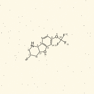 FC1CNC2c3ccc(OC(F)(F)F)cc3OC2C1